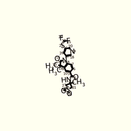 CC1(NC(=O)c2ccc3c(c2)C(C)(C)C(=O)N3c2cncc(SC(F)F)c2)CS(=O)(=O)C1